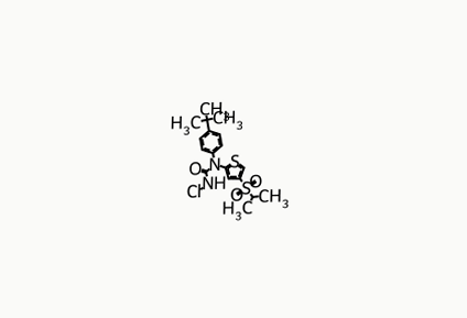 CC(C)S(=O)(=O)c1csc(N(C(=O)NCl)c2ccc(C(C)(C)C)cc2)c1